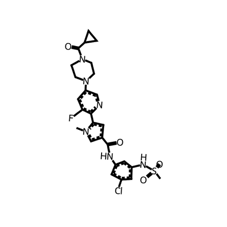 Cn1cc(C(=O)Nc2cc(Cl)cc(NS(C)(=O)=O)c2)cc1-c1ncc(N2CCN(C(=O)C3CC3)CC2)cc1F